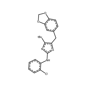 CC(C)(C)c1nc(Nc2ccccc2Cl)sc1Cc1ccc2c(c1)OCO2